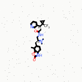 Cc1c(C[C@@H](CNC(=O)C[C@H](c2cccnc2)C2(C(F)(F)F)CC2)N(C)C)ccc2[nH]c(=O)oc12